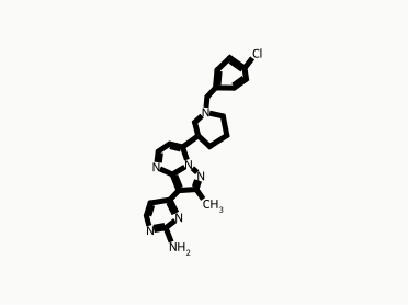 Cc1nn2c(C3CCCN(Cc4ccc(Cl)cc4)C3)ccnc2c1-c1ccnc(N)n1